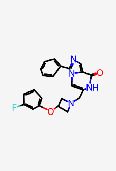 O=c1[nH]c(CN2CC(Oc3cccc(F)c3)C2)cn2c(-c3ccccc3)ncc12